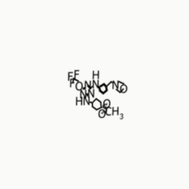 CS(=O)(=O)C1CCC(Nc2nc(Nc3cccc(CN4CCOCC4)c3)nc(OCC(F)(F)F)n2)CC1